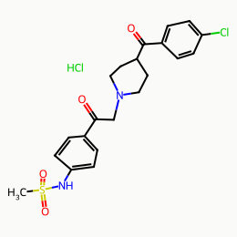 CS(=O)(=O)Nc1ccc(C(=O)CN2CCC(C(=O)c3ccc(Cl)cc3)CC2)cc1.Cl